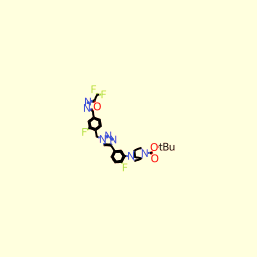 CC(C)(C)OC(=O)N1CC2CC1CN2c1cc(-c2cn(Cc3ccc(-c4nnc(C(F)F)o4)cc3F)nn2)ccc1F